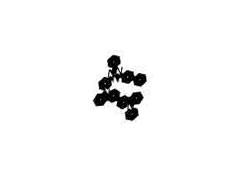 c1ccc(-c2ccc(-c3nc(-c4ccccc4)nc(-c4cccc(-n5c6ccccc6c6cc(-c7ccc8c(c7)c7ccccc7n8-c7ccccc7)ccc65)c4)n3)cc2)cc1